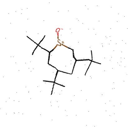 CC(C)(C)C1CC(C(C)(C)C)C[S+]([O-])C(C(C)(C)C)C1